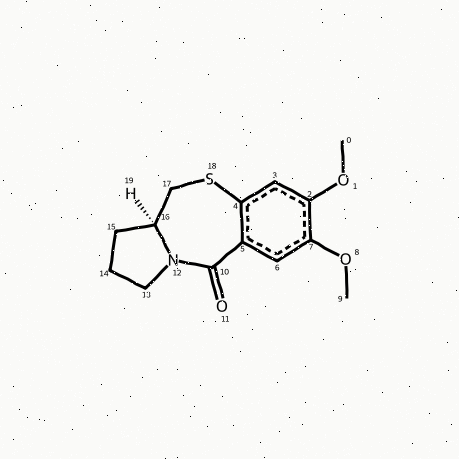 COc1cc2c(cc1OC)C(=O)N1CCC[C@H]1CS2